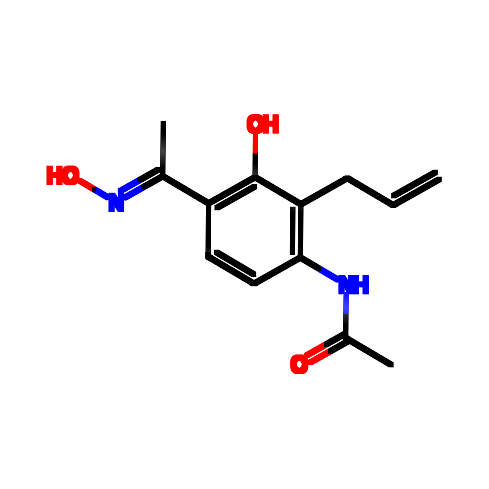 C=CCc1c(NC(C)=O)ccc(C(C)=NO)c1O